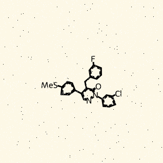 CSc1ccc(-c2cnn(-c3cccc(Cl)c3)c(=O)c2Cc2cccc(F)c2)cc1